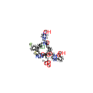 Cc1oc(=O)oc1CCC(=O)[C@@H]1Cc2cc(ccc2OCc2ccnc(-c3ccccc3OO)n2)CC(=O)N(CCN2CCN(O)CC2)Cc2ccc(cc2Cl)-c2c(-c3ccc(F)cc3)sc3ncnc(c23)O1